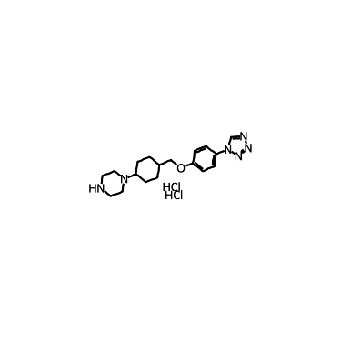 Cl.Cl.c1cc(-n2cnnn2)ccc1OCC1CCC(N2CCNCC2)CC1